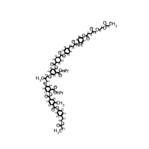 C=CC(=O)OCCOCC(=O)CCC(=O)Oc1ccc(NC(=O)CCc2ccc(OC(=O)C3CCC(C(=O)Oc4ccc(OCC(C)COc5ccc(OC(=O)c6ccc(C(=O)Oc7ccc(CCOC(=O)C=C)cc7)c(C)c6)c(C(=O)OCCC)c5)cc4C(=O)OCCC)CC3)cc2)cc1